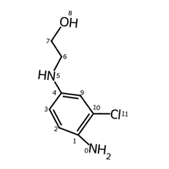 Nc1ccc(NCCO)cc1Cl